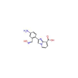 Nc1ccc(-c2cn3cccc(C(=O)O)c3n2)c(/C=N\O)c1